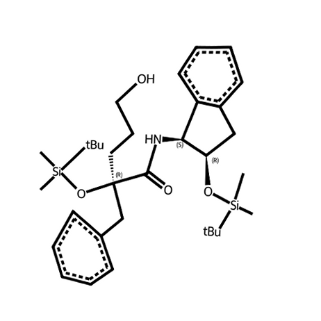 CC(C)(C)[Si](C)(C)O[C@@H]1Cc2ccccc2[C@@H]1NC(=O)[C@@](CCCO)(Cc1ccccc1)O[Si](C)(C)C(C)(C)C